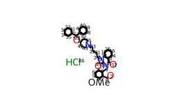 COC(=O)c1ccccc1Cn1c(=O)c2ccccc2n(CCCCN2CCC(OC(c3ccccc3)c3ccccc3)CC2)c1=O.Cl